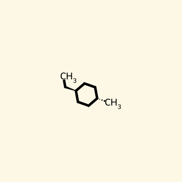 CC[C@H]1CC[C@H](C)CC1